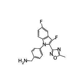 Cc1nc(-c2c(F)c3cc(F)ccc3n2-c2ccc(CN)cc2)no1